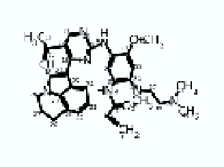 C=CC(=O)Nc1cc(Nc2ncc(C(=C)C)c(-c3cn4c5c(cccc35)CCC4)n2)c(OC)cc1N(C)CCN(C)C